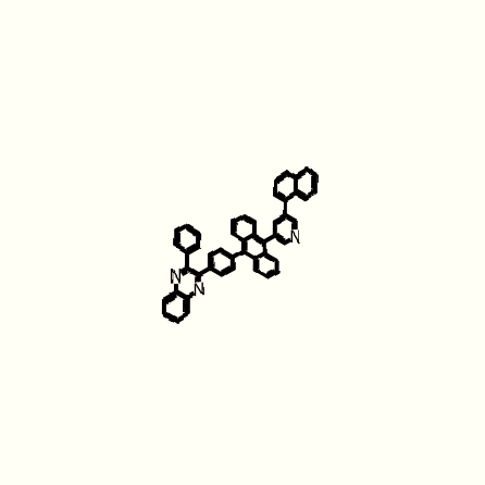 c1ccc(-c2nc3ccccc3nc2-c2ccc(-c3c4ccccc4c(-c4cncc(-c5cccc6ccccc56)c4)c4ccccc34)cc2)cc1